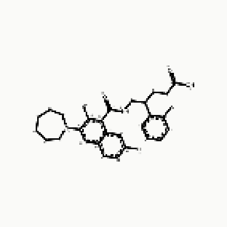 Cc1ccccc1C(CCC(=O)O)CNC(=O)c1c(C)c(N2CCCCCC2)nc2ccc(Br)cc12